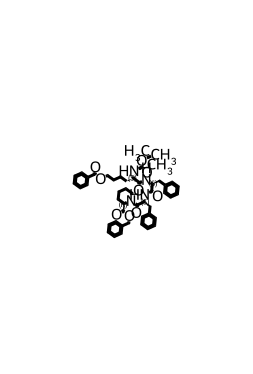 CC(C)(C)OC(=O)N[C@@H](CCCCOC(=O)c1ccccc1)C(=O)N[C@@H](Cc1ccccc1)C(=O)N[C@@H](Cc1ccccc1)C(=O)N1CCCC[C@@H]1C(=O)OCc1ccccc1